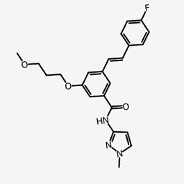 COCCCOc1cc(/C=C/c2ccc(F)cc2)cc(C(=O)Nc2ccn(C)n2)c1